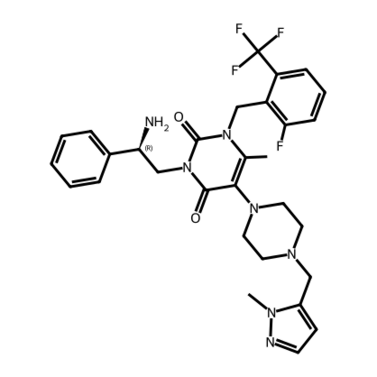 Cc1c(N2CCN(Cc3ccnn3C)CC2)c(=O)n(C[C@H](N)c2ccccc2)c(=O)n1Cc1c(F)cccc1C(F)(F)F